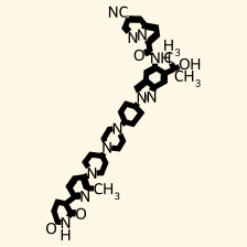 Cc1nc(C2CCC(=O)NC2=O)ccc1N1CCC(N2CCN(C3CCC(n4cc5cc(NC(=O)c6ccc7cc(C#N)cnn67)c(C(C)(C)O)cc5n4)CC3)CC2)CC1